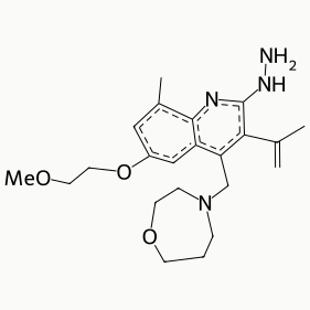 C=C(C)c1c(NN)nc2c(C)cc(OCCOC)cc2c1CN1CCCOCC1